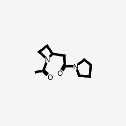 CC(=O)N1CCC1CC(=O)N1CCCC1